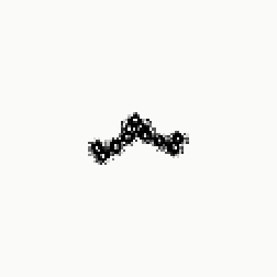 c1cc2c3c(c1)Oc1cc(-c4ccc(-c5cccc6ccccc56)cc4)ccc1N3c1ccc(-c3ccc(-c4cccc5ccccc45)cc3)cc1O2